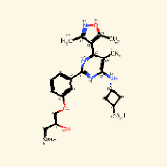 CNCC(O)COc1cccc(-c2nc(N[C@H]3C[C@H](C(=O)O)C3)c(C)c(-c3c(C)noc3C)n2)c1